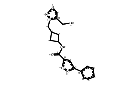 O=C(NC1CC(Cn2nncc2CO)C1)c1cc(-c2ccccc2)no1